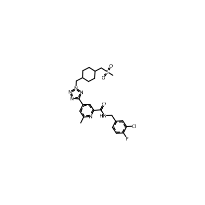 Cc1cc(-c2nnn(CC3CCC(CS(C)(=O)=O)CC3)n2)cc(C(=O)NCc2ccc(F)c(Cl)c2)n1